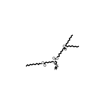 CCCCCCCCCCCOC(=O)CCCCCN1C[C@@H](N=[N+]=[N-])C[C@H]1C(=O)OCCCCCCCC(=O)OC(CCCCCCCC)CCCCCCCC